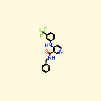 O=C(NCc1ccccc1)c1cnccc1Nc1cccc(C(F)(F)F)c1